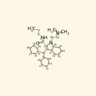 CCCNC(=O)c1c(C(c2ccccc2)c2ccccc2)c2ccccc2n1CCN(C)C